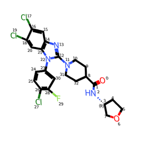 O=C(N[C@@H]1CCOC1)C1CCN(c2nc3cc(Cl)c(Cl)cc3n2-c2ccc(Cl)c(F)c2)CC1